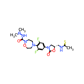 CC(=S)NC[C@H]1CN(c2cc(F)c(N3CCON(C(=O)NN(C)C)CC3)c(F)c2)C(=O)O1